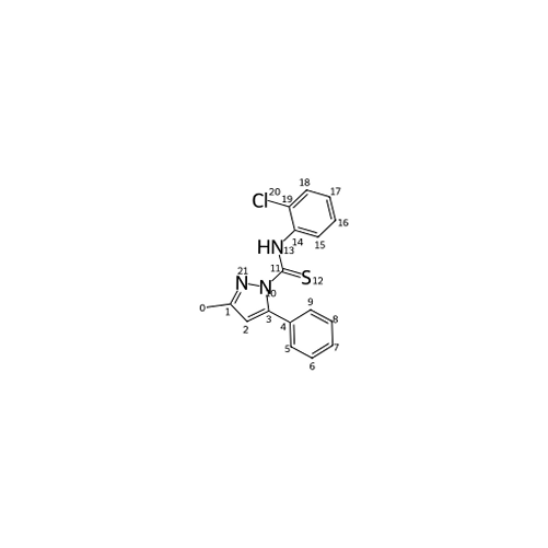 Cc1cc(-c2ccccc2)n(C(=S)Nc2ccccc2Cl)n1